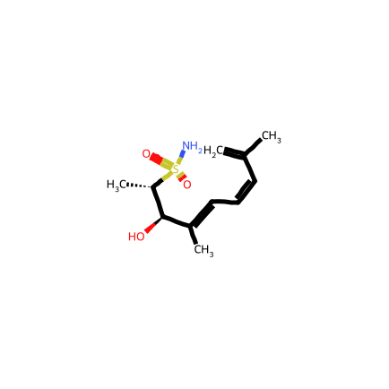 C=C(C)/C=C\C=C(/C)[C@@H](O)[C@H](C)S(N)(=O)=O